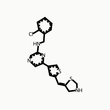 Clc1ccccc1CNc1cncc(-c2csc(/C=C3/CNCS3)c2)n1